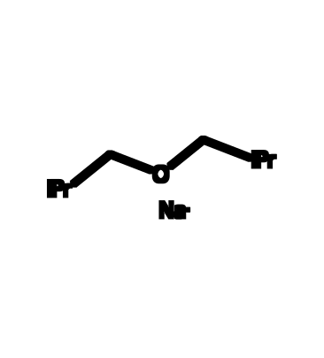 CC(C)COCC(C)C.[Na]